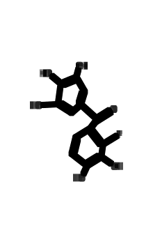 O=C(c1cc(O)c(O)c(O)c1)c1ccc(O)c(O)c1F